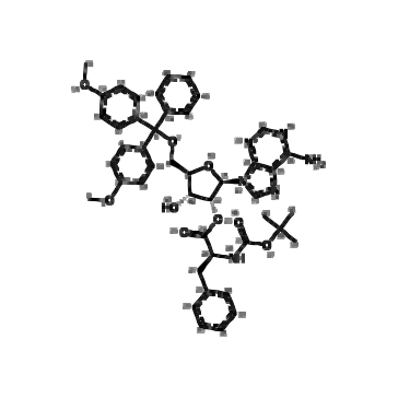 COc1ccc(C(OC[C@H]2O[C@@H](n3cnc4c(N)ncnc43)[C@H](OC(=O)[C@H](Cc3ccccc3)NC(=O)OC(C)(C)C)[C@@H]2O)(c2ccccc2)c2ccc(OC)cc2)cc1